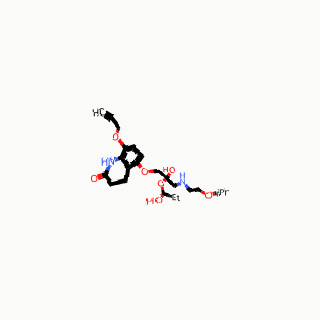 C#CCOc1ccc(OCC(O)(CNCCOC(C)C)OC(O)CC)c2c1NC(=O)CC2